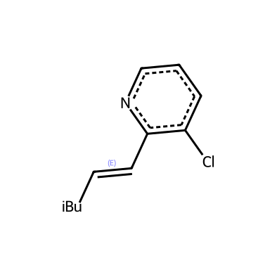 CCC(C)/C=C/c1ncccc1Cl